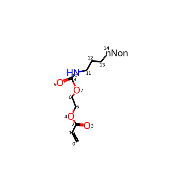 C=CC(=O)OCCOC(=O)NCCCCCCCCCCCC